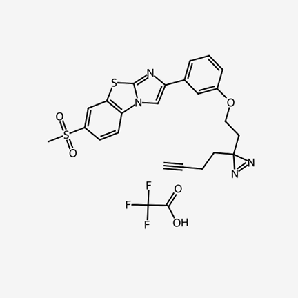 C#CCCC1(CCOc2cccc(-c3cn4c(n3)sc3cc(S(C)(=O)=O)ccc34)c2)N=N1.O=C(O)C(F)(F)F